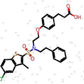 Cc1c(S(=O)(=O)N(CCOc2ccc(CCC(=O)O)cc2)CCc2ccccc2)sc2ccc(Cl)cc12